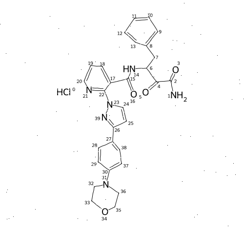 Cl.NC(=O)C(=O)C(Cc1ccccc1)NC(=O)c1cccnc1-n1ccc(-c2ccc(N3CCOCC3)cc2)n1